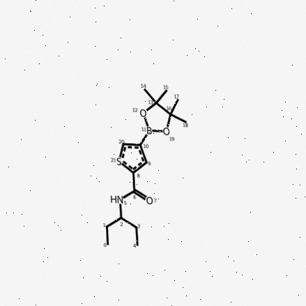 CCC(CC)NC(=O)c1cc(B2OC(C)(C)C(C)(C)O2)cs1